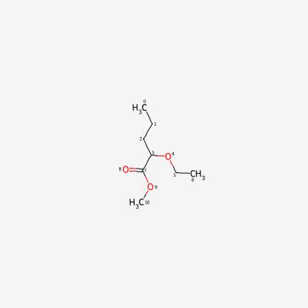 CCCC(OCC)C(=O)OC